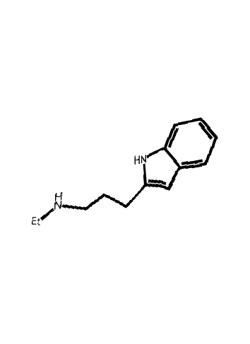 CCNCCCc1cc2ccccc2[nH]1